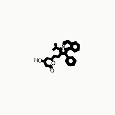 CC(C)c1c(CCC2CC(O)CC(=O)O2)c(-c2ccccc2)c2c3ccccc3ccn12